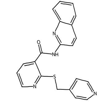 O=C(Nc1ccc2ccccc2n1)c1cccnc1SCc1ccncc1